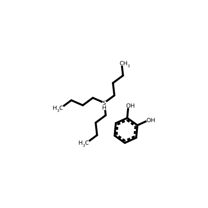 CCCC[SH](CCCC)CCCC.Oc1ccccc1O